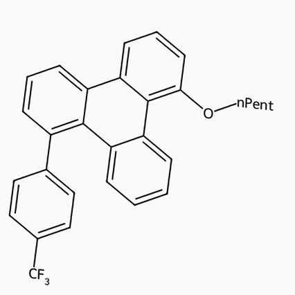 CCCCCOc1cccc2c3cccc(-c4ccc(C(F)(F)F)cc4)c3c3ccccc3c12